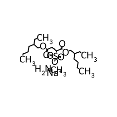 CCCCC(CC)COC(=O)CC(C(=O)OCC(CC)CCCC)S(=O)(=O)[O-].CN.[Na+]